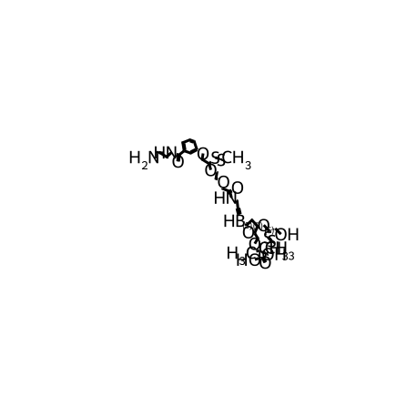 CSSC(COc1cccc(C(=O)NCCN)c1)OCCOCC(=O)NCC#CB[C@H]1C[C@@H](O[C@H](CO)SSC)C(COC(C)(C)P(=O)(O)O)O1